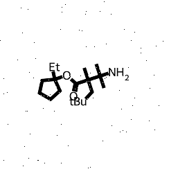 CCC1(OC(=O)C(C)(CC(C)(C)C)C(C)(C)N)CCCC1